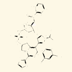 CC[C@](O)(C[C@H](C)NS(=O)(=O)N[C@H]1CC2=C(c3ccn(C(F)F)n3)[C@H](c3ccc(F)cc3Cl)N=C(c3nccs3)N2C1)/C(N)=C/N(N)c1ccccn1